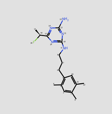 Cc1cc(C)c(CCCNc2nc(N)nc([C@H](C)F)n2)cc1C